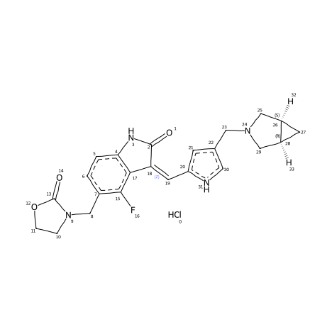 Cl.O=C1Nc2ccc(CN3CCOC3=O)c(F)c2/C1=C/c1cc(CN2C[C@H]3C[C@H]3C2)c[nH]1